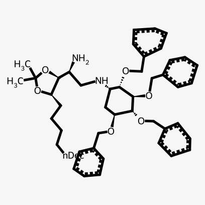 CCCCCCCCCCCCCC[C@H]1OC(C)(C)O[C@H]1[C@@H](N)CN[C@H]1C[C@H](OCc2ccccc2)[C@@H](OCc2ccccc2)[C@H](OCc2ccccc2)[C@H]1OCc1ccccc1